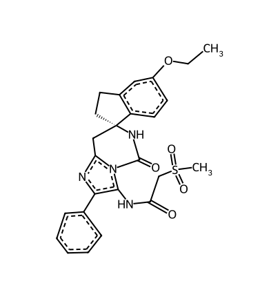 CCOc1ccc2c(c1)CC[C@]21Cc2nc(-c3ccccc3)c(NC(=O)CS(C)(=O)=O)n2C(=O)N1